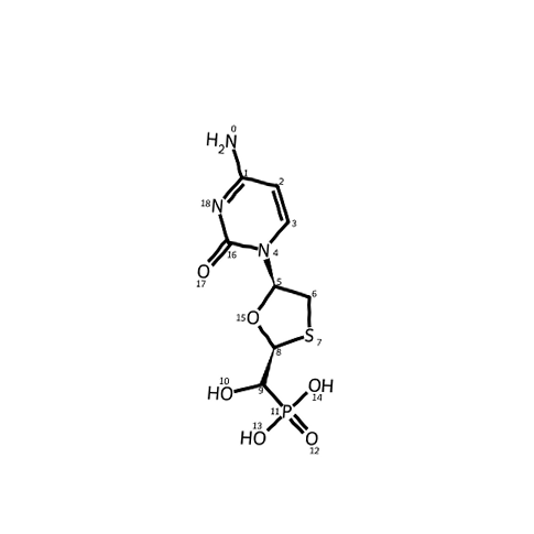 Nc1ccn([C@H]2CS[C@@H](C(O)P(=O)(O)O)O2)c(=O)n1